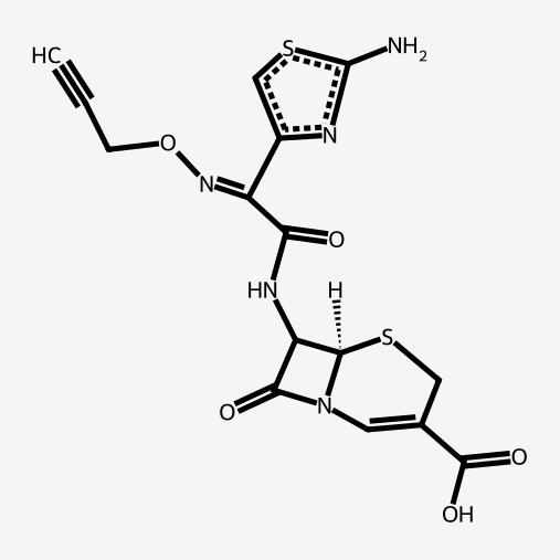 C#CCON=C(C(=O)NC1C(=O)N2C=C(C(=O)O)CS[C@H]12)c1csc(N)n1